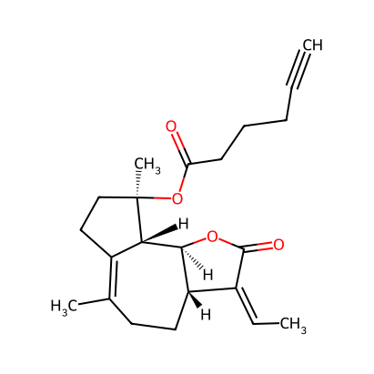 C#CCCCC(=O)O[C@]1(C)CCC2=C(C)CC[C@H]3/C(=C/C)C(=O)O[C@@H]3[C@H]21